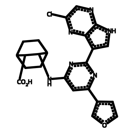 O=C(O)C1C2CCC(CC2)C1Nc1cc(-c2ccoc2)nc(-c2c[nH]c3ncc(Cl)nc23)n1